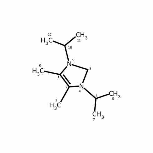 CC1=C(C)N(C(C)C)CN1C(C)C